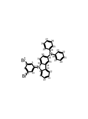 Brc1cc(Br)cc(-n2c3ccccc3c3cc(N(c4ccccc4)c4ccccc4)ccc32)c1